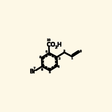 C=CCc1ccc(Br)cc1C(=O)O